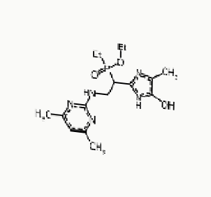 CCOP(=O)(CC)C(CNc1nc(C)cc(C)n1)c1nc(C)c(O)[nH]1